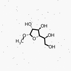 CO[C@H]1O[C@@H]([C@@H](O)CO)[C@H](O)[C@H]1O